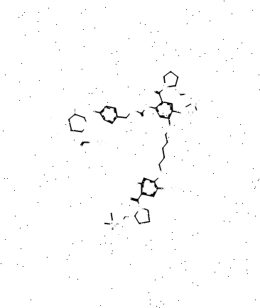 COC(=O)[C@H]1O[C@@H](Oc2ccc(COC(=O)Nc3cc(OCCCCCOc4cc(N)c(C(=O)N5CCC[C@H]5CO[Si](C)(C)C(C)(C)C)cc4OC)c(OC)cc3C(=O)N3CCC[C@H]3CO[Si](C)(C)C(C)(C)C)cc2)[C@H](OC(C)=O)[C@@H](OC(C)=O)[C@@H]1OC(C)=O